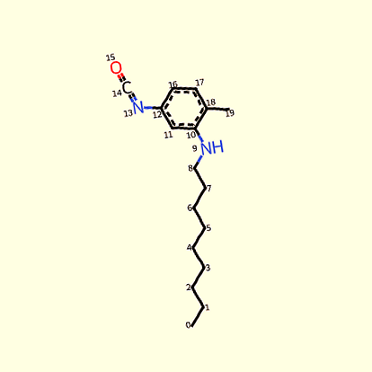 CCCCCCCCCNc1cc(N=C=O)ccc1C